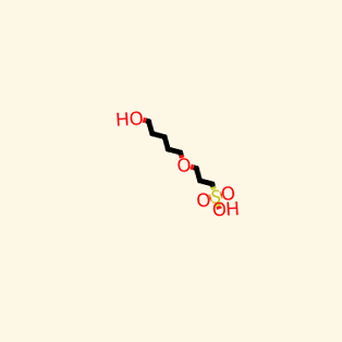 O=S(=O)(O)CCCOCCCCCO